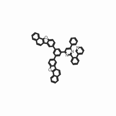 c1ccc(-c2cc(-c3cc(-c4ccc5oc6c7ccccc7ccc6c5c4)cc(-c4ccc5oc6c7ccccc7ccc6c5c4)c3)nc(-c3ccccc3-c3cccnc3)n2)cc1